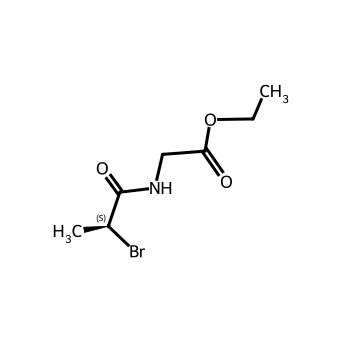 CCOC(=O)CNC(=O)[C@H](C)Br